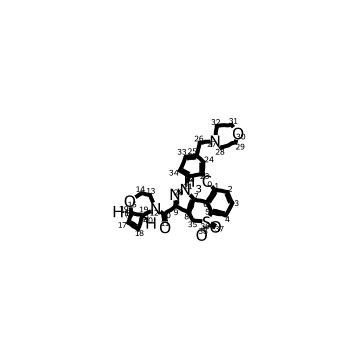 Cc1cccc2c1-c1c(c(C(=O)N3CCO[C@@H]4C=C[C@@H]43)nn1-c1ccc(CN3CCOCC3)cc1)CS2(=O)=O